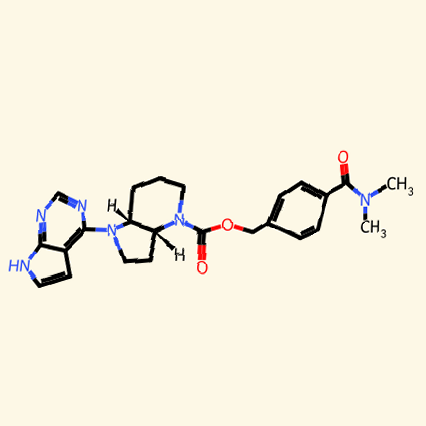 CN(C)C(=O)c1ccc(COC(=O)N2CCC[C@@H]3[C@H]2CCN3c2ncnc3[nH]ccc23)cc1